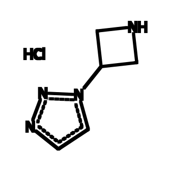 Cl.c1cn(C2CNC2)nn1